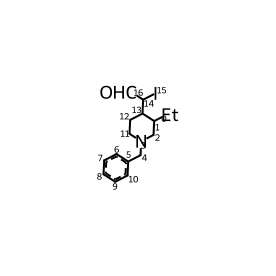 CCC1CN(Cc2ccccc2)CCC1C(I)C=O